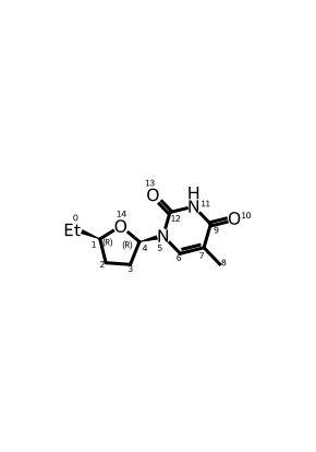 CC[C@@H]1CC[C@H](n2cc(C)c(=O)[nH]c2=O)O1